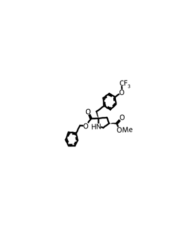 COC(=O)[C@H]1CN[C@](Cc2ccc(OC(F)(F)F)cc2)(C(=O)OCc2ccccc2)C1